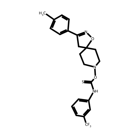 Cc1ccc(C2=NOC3(CCN(OC(=S)Nc4cccc(C(F)(F)F)c4)CC3)C2)cc1